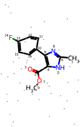 COC(=O)c1[nH]c(C)nc1-c1ccc(F)cc1